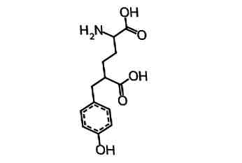 NC(CCC(Cc1ccc(O)cc1)C(=O)O)C(=O)O